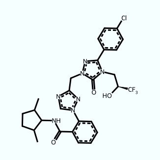 CC1CCC(C)C1NC(=O)c1ccccc1-n1cnc(Cn2nc(-c3ccc(Cl)cc3)n(C[C@H](O)C(F)(F)F)c2=O)n1